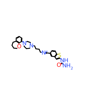 NC(=O)Nc1cc2cc(C#[N+]CCCCN3CCCN(c4cccc5c4OCCCC5)CC3)ccc2s1